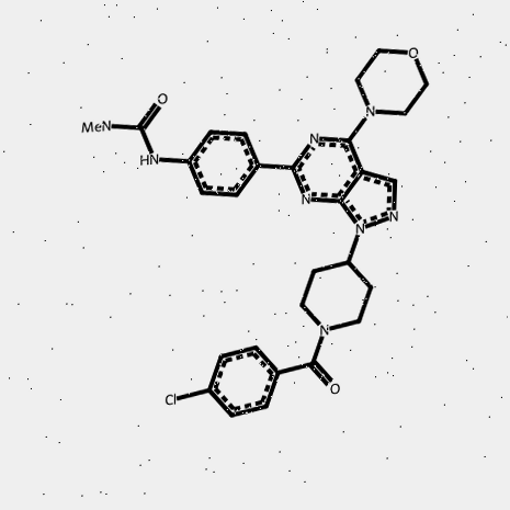 CNC(=O)Nc1ccc(-c2nc(N3CCOCC3)c3cnn(C4CCN(C(=O)c5ccc(Cl)cc5)CC4)c3n2)cc1